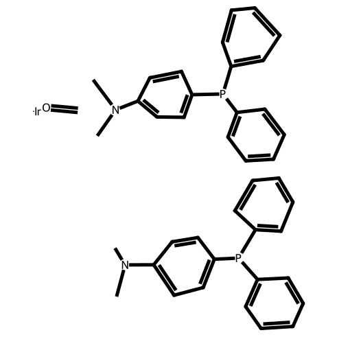 C=O.CN(C)c1ccc(P(c2ccccc2)c2ccccc2)cc1.CN(C)c1ccc(P(c2ccccc2)c2ccccc2)cc1.[Ir]